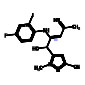 CC(=N)/C=C(\Nc1ccc(F)cc1I)C(O)c1cc(C#N)nn1C